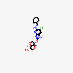 O[C@@H]1CO[C@H]2[C@@H]1OC[C@H]2Oc1nc2nc(NCC3CCCCC3)c(Cl)cc2[nH]1